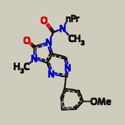 CCCN(C)C(=O)n1c(=O)n(C)c2nc(-c3cccc(OC)c3)ncc21